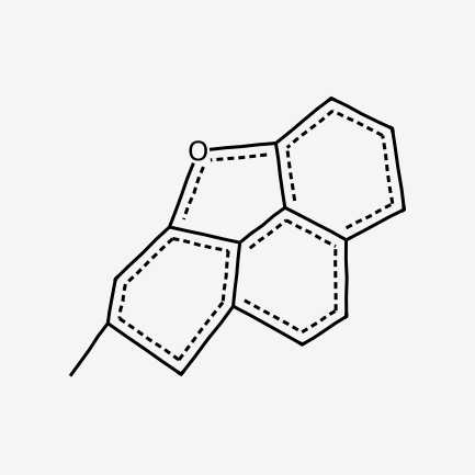 Cc1cc2ccc3cccc4oc(c1)c2c34